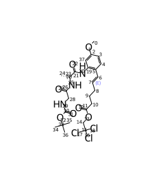 COc1ccc(/C=C/CCCC(=O)OCC(Cl)(Cl)Cl)c(NC(=O)[C@@H](C)NC(=O)CNC(=O)OC(C)(C)C)c1